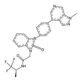 C[C@H](NC(=O)Cn1c(=O)n(-c2ccc(-c3cncc4c3cnn4C)cc2)c2ccccc21)C(F)(F)F